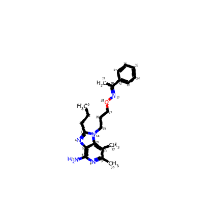 CCCc1nc2c(N)nc(C)c(C)c2n1CCCO/N=C(\C)c1ccccc1